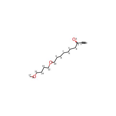 C#CC(=O)CCCCCCCOCCCCOC